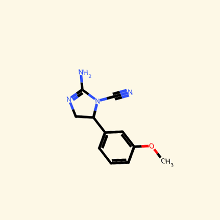 COc1cccc(C2CN=C(N)N2C#N)c1